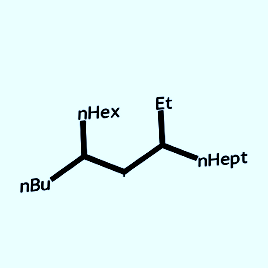 CCCCCCCC([CH]C(CCCC)CCCCCC)CC